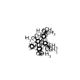 CC(C)c1cc2c3c(c1)N(c1ccccc1)c1cc4c(cc1B3c1cc(C(C)(C)C)ccc1N2c1ccc(C(C)(C)C)cc1)OCO4